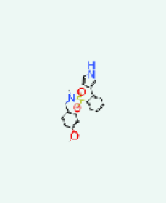 COc1ccc(CN(C)S(=O)(=O)c2ccccc2-c2cc[nH]c2)cc1